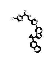 Cc1csc(C(C)NCc2cnn(-c3cnc4ncc(C5(c6ccc7ncccc7c6)CC5)n4c3)c2)n1